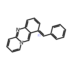 C1=CC2=Nc3ccc/c(=C\c4ccccc4)c3=CN2C=C1